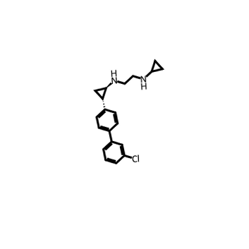 Clc1cccc(-c2ccc([C@@H]3C[C@H]3NCCNC3CC3)cc2)c1